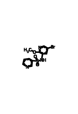 COc1ncc(Br)cc1NS(=O)(=O)c1cccnc1